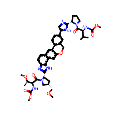 COC[C@H]1C[C@@H](c2nc3ccc4cc5c(cc4c3[nH]2)OCc2cc(-c3cnc([C@@H]4CCCN4C(=O)[C@@H](NC(=O)OC)C(C)C)[nH]3)ccc2-5)N(C(=O)C(NC(=O)OC)[C@@H](C)OC)C1